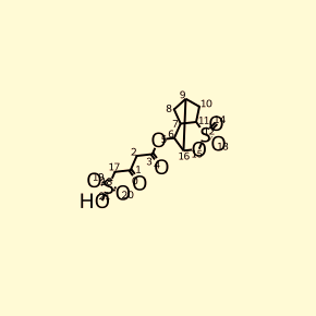 O=C(CC(=O)OC1C2CC3CC2S(=O)(=O)OC31)CS(=O)(=O)O